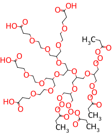 CCC(=O)OOOCC(COOOC(=O)CC)OCC(COC(COOOC(=O)CC)COOOC(=O)CC)OC(COC(COCCOCCC(=O)O)COCCOCCC(=O)O)COC(COCCOCCC(=O)O)COCCOCCC(=O)O